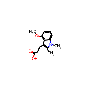 COc1cccc2c1c(CCC(=O)O)c(C)n2C